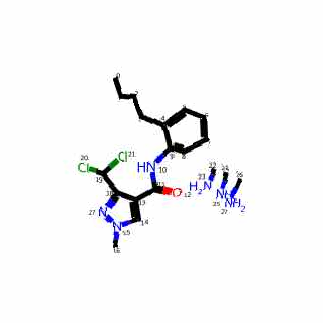 CCCCc1ccccc1NC(=O)c1cn(C)nc1C(Cl)Cl.CN.CN.CN